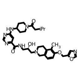 Cc1c(OCc2cnco2)ccc2c1CCN(C[C@@H](O)CNC(=O)c1cc(NC3CCN(C(=O)CC(C)C)CC3)ncn1)C2